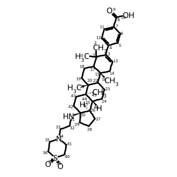 CC1(C)C(c2ccc(C(=O)O)cc2)=CC[C@@]2(C)C1CC[C@]1(C)C2CC[C@@H]2[C@H]3CCC[C@]3(NCCN3CCS(=O)(=O)CC3)CC[C@]21C